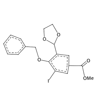 COC(=O)c1cc(I)c(OCc2ccccc2)c(C2OCCO2)c1